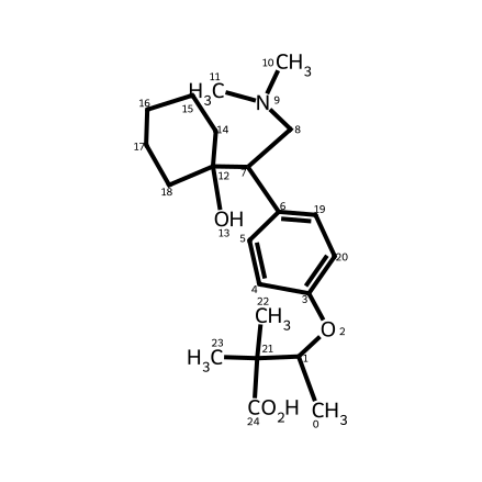 CC(Oc1ccc(C(CN(C)C)C2(O)CCCCC2)cc1)C(C)(C)C(=O)O